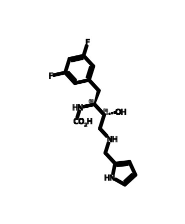 O=C(O)N[C@@H](Cc1cc(F)cc(F)c1)[C@H](O)CNCc1ccc[nH]1